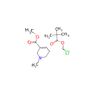 CC(C)(C)C(=O)OCCl.COC(=O)C1=CCCN(C)C1